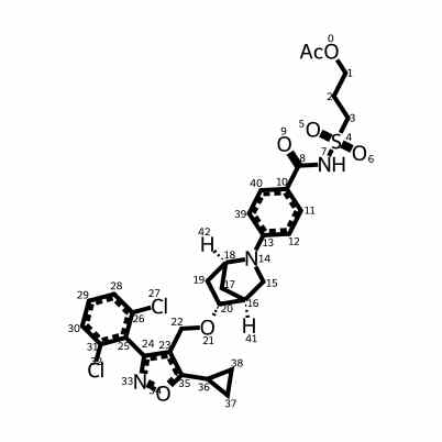 CC(=O)OCCCS(=O)(=O)NC(=O)c1ccc(N2C[C@@H]3C[C@H]2C[C@H]3OCc2c(-c3c(Cl)cccc3Cl)noc2C2CC2)cc1